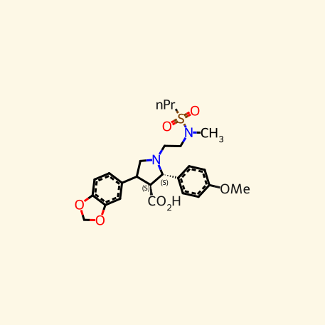 CCCS(=O)(=O)N(C)CCN1CC(c2ccc3c(c2)OCO3)[C@H](C(=O)O)[C@H]1c1ccc(OC)cc1